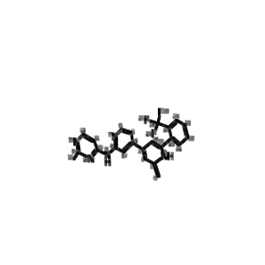 C=C1C=C(c2ccnc(Nc3ccnc(C)n3)c2)C=C(c2ccccc2C(F)(F)F)N1